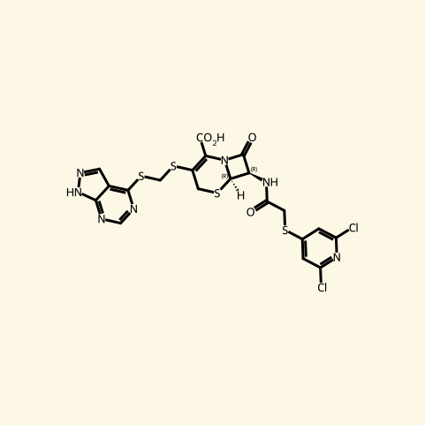 O=C(CSc1cc(Cl)nc(Cl)c1)N[C@@H]1C(=O)N2C(C(=O)O)=C(SCSc3ncnc4[nH]ncc34)CS[C@H]12